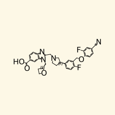 N#Cc1ccc(OCc2cc([C@H]3CCN(Cc4nc5ccc(C(=O)O)cc5n4C[C@@H]4CCO4)C3)ccc2F)c(F)c1